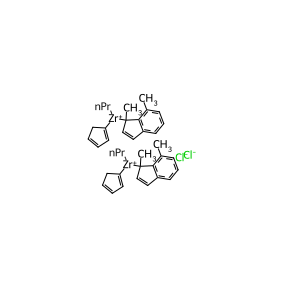 CC[CH2][Zr+]([C]1=CC=CC1)[C]1(C)C=Cc2cccc(C)c21.CC[CH2][Zr+]([C]1=CC=CC1)[C]1(C)C=Cc2cccc(C)c21.[Cl-].[Cl-]